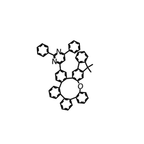 CC1(C)c2ccccc2-c2cc3c(cc21)Oc1ccccc1-c1ccccc1-c1ccccc1-c1ccc(-c2cc(-c4ccccc4)nc(-c4ccccc4)n2)cc1-3